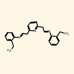 CCc1ccccc1N=CCc1cccc(CC=Nc2ccccc2CC)n1